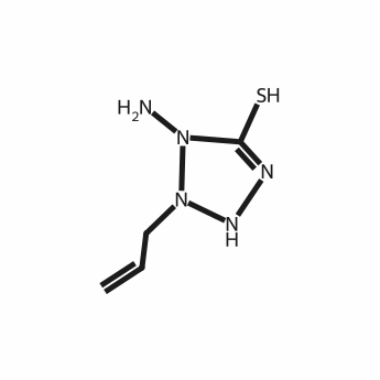 C=CCN1NN=C(S)N1N